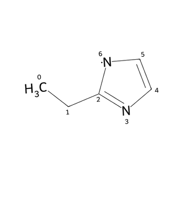 CCC1=NC=C[N]1